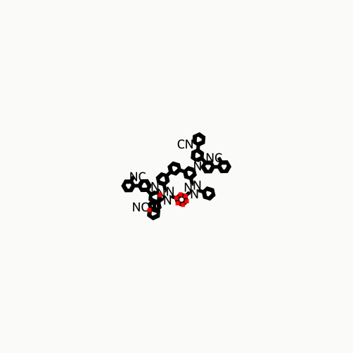 [C-]#[N+]c1ccccc1-c1ccc2c(c1)c1cc(-c3ccccc3C#N)ccc1n2-c1cc(-c2cccc(-c3ccc(-n4c5ccc(-c6ccccc6C#N)cc5c5cc(-c6ccccc6[N+]#[C-])ccc54)c(-c4nc(-c5ccccc5)nc(-c5ccccc5)n4)c3)c2)cc(-c2nc(-c3ccccc3)nc(-c3ccccc3)n2)c1